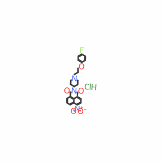 Cl.O=C1c2cccc3c([N+](=O)[O-])ccc(c23)C(=O)N1C1CCN(CCCOc2ccc(F)cc2)CC1